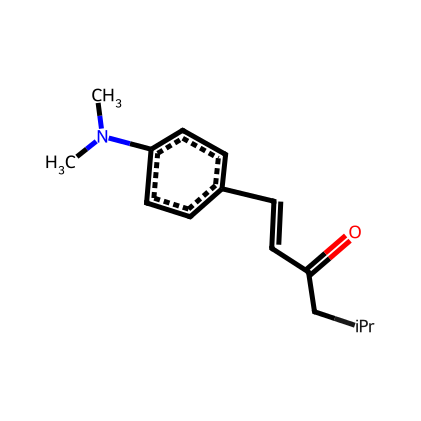 CC(C)CC(=O)/C=C/c1ccc(N(C)C)cc1